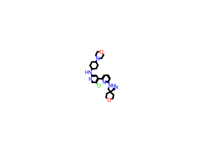 N#CC1(CNc2cccc(-c3cc(NC4CCC(N5CCOCC5)CC4)ncc3Cl)n2)CCOCC1